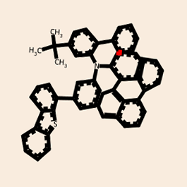 CC(C)(C)c1ccc(-c2ccccc2)c(N(c2cccc(-c3cccc4c3sc3ccccc34)c2)c2ccccc2C2=c3c(-c4ccccc4)cccc3=CCC2)c1